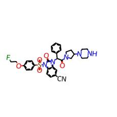 N#Cc1ccc2c(c1)n(C(C(=O)N1CCC(N3CCNCC3)C1)c1ccccc1)c(=O)n2S(=O)(=O)c1ccc(OCCF)cc1